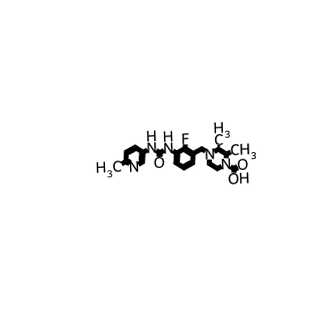 Cc1ccc(NC(=O)Nc2cccc(CN3CCN(C(=O)O)C(C)[C@@H]3C)c2F)cn1